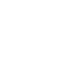 CC(C)(C)O.CO.[W]